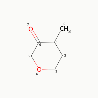 CC1CCOCC1=O